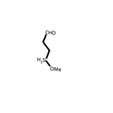 CO[SiH2]CCC=O